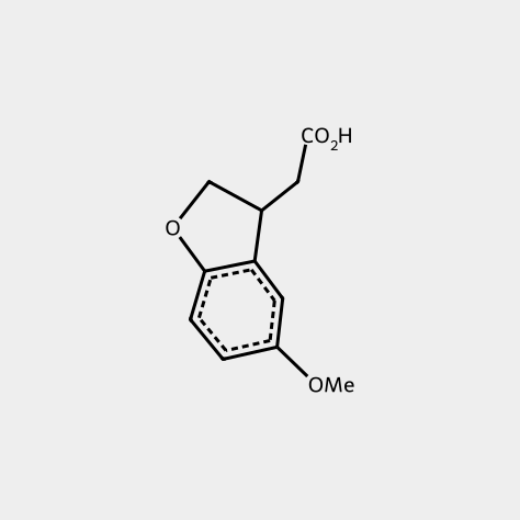 COc1ccc2c(c1)C(CC(=O)O)CO2